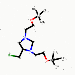 CC(C)(C)[Si](C)(C)OCCN1CC(CBr)N(CCO[Si](C)(C)C(C)(C)C)C1